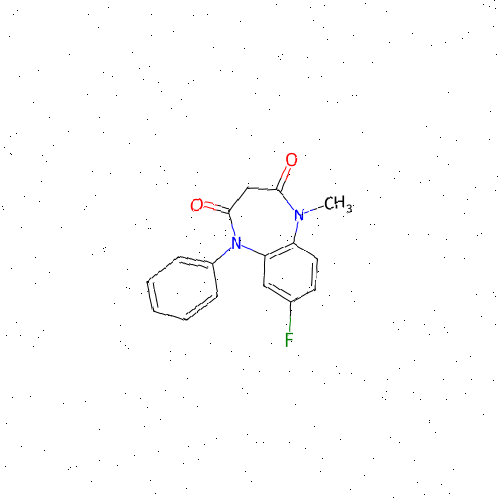 CN1C(=O)CC(=O)N(c2ccccc2)c2cc(F)ccc21